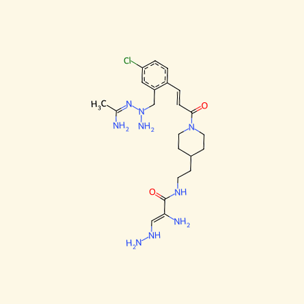 C/C(N)=N/N(N)Cc1cc(Cl)ccc1/C=C/C(=O)N1CCC(CCNC(=O)/C(N)=C/NN)CC1